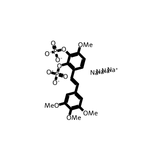 COc1cc(C=Cc2ccc(OC)c(OP(=O)([O-])[O-])c2OP(=O)([O-])[O-])cc(OC)c1OC.[Na+].[Na+].[Na+].[Na+]